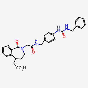 O=C(O)CC1CCN(CC(=O)NCc2ccc(NC(=O)NCc3ccccc3)cc2)C(=O)c2ccccc21